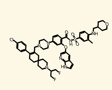 Cc1cc(S(=O)(=O)NC(=O)c2ccc(N3CCN(CC4=C(c5ccc(Cl)cc5)CCC5(CCN(C(CF)CF)CC5)C4)CC3)cc2Oc2cnc3[nH]ccc3c2)ccc1NCC1CCOCC1